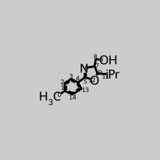 Cc1ccc(C2=NC(CO)C(C(C)C)O2)cc1